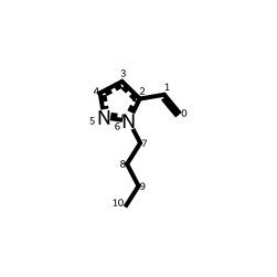 C=Cc1ccnn1CCCC